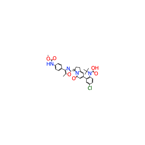 COC(=O)Nc1ccc(-c2nc([C@@H]3CCc4cc(-c5cc(Cl)ccc5N(C(=O)O)C(C)(C)C)cc(=O)n43)oc2C)cc1